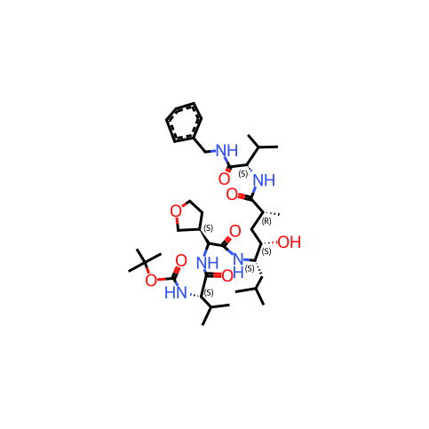 CC(C)C[C@H](NC(=O)C(NC(=O)[C@@H](NC(=O)OC(C)(C)C)C(C)C)[C@@H]1CCOC1)[C@@H](O)C[C@@H](C)C(=O)N[C@H](C(=O)NCc1ccccc1)C(C)C